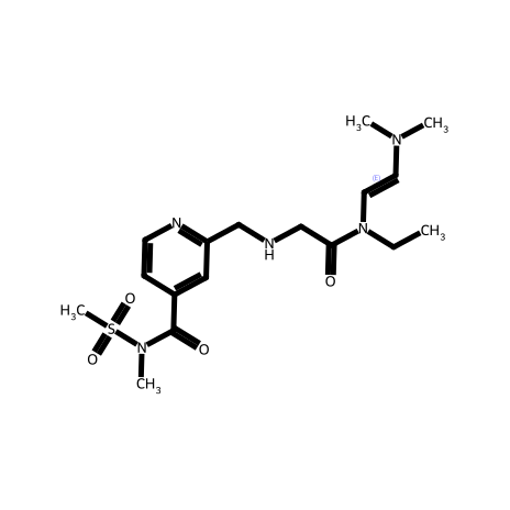 CCN(/C=C/N(C)C)C(=O)CNCc1cc(C(=O)N(C)S(C)(=O)=O)ccn1